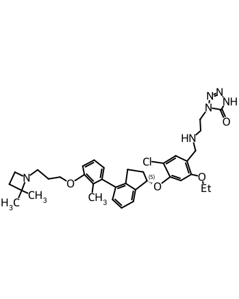 CCOc1cc(O[C@H]2CCc3c(-c4cccc(OCCCN5CCC5(C)C)c4C)cccc32)c(Cl)cc1CNCCn1nn[nH]c1=O